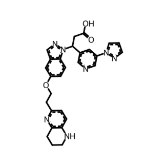 O=C(O)CC(c1cncc(-n2cccn2)c1)n1ncc2cc(OCCc3ccc4c(n3)CCCN4)ccc21